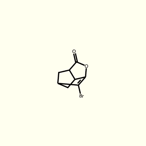 O=C1OC2=C(Br)C3CC1C2C3